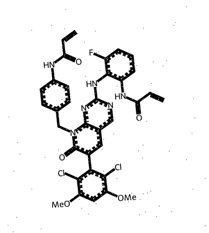 C=CC(=O)Nc1ccc(Cn2c(=O)c(-c3c(Cl)c(OC)cc(OC)c3Cl)cc3cnc(Nc4c(F)cccc4NC(=O)C=C)nc32)cc1